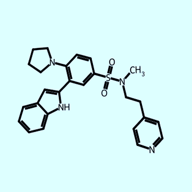 CN(CCc1ccncc1)S(=O)(=O)c1ccc(N2CCCC2)c(-c2cc3ccccc3[nH]2)c1